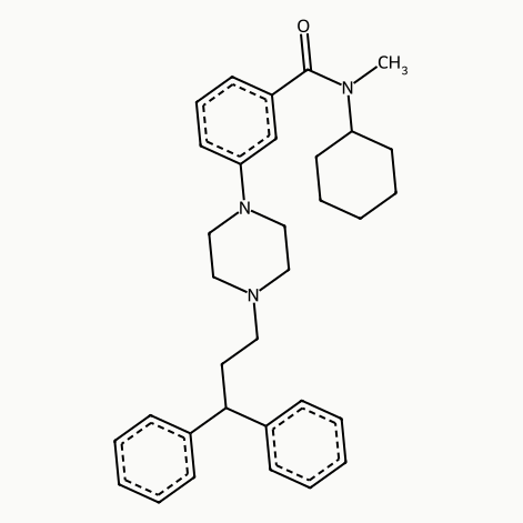 CN(C(=O)c1cccc(N2CCN(CCC(c3ccccc3)c3ccccc3)CC2)c1)C1CCCCC1